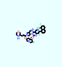 C/[N+](=C/C1CCN(C(=O)/C=C/C2COCCN2)C1)c1nc(OC[C@@]23CCCN2C[C@H](F)C3)nc2c(F)c(-c3cccc4ccc(F)c(Cl)c34)ncc12